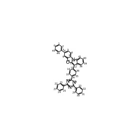 c1ccc(-c2ccc3c(c2)oc2c(-c4ccc(-c5nc(-c6ccccc6)nc(-c6ccccc6)n5)cc4)c4ccccc4n23)cc1